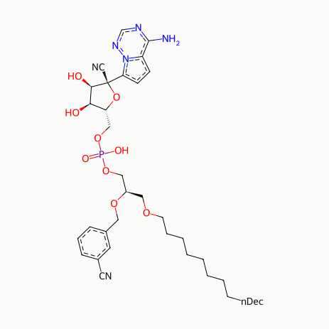 CCCCCCCCCCCCCCCCCCOC[C@H](COP(=O)(O)OC[C@H]1O[C@@](C#N)(c2ccc3c(N)ncnn23)[C@H](O)[C@@H]1O)OCc1cccc(C#N)c1